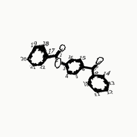 O=C(Oc1ccc(C(=O)c2ccccc2)cc1)c1ccccc1